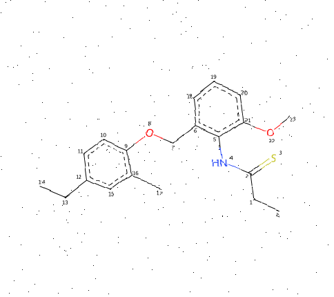 CCC(=S)Nc1c(COc2ccc(CC)cc2C)cccc1OC